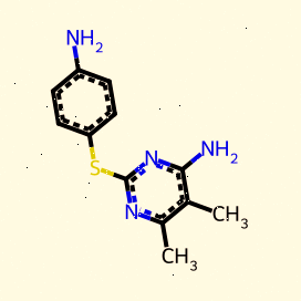 Cc1nc(Sc2ccc(N)cc2)nc(N)c1C